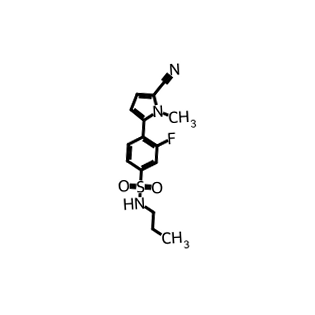 CCCNS(=O)(=O)c1ccc(-c2ccc(C#N)n2C)c(F)c1